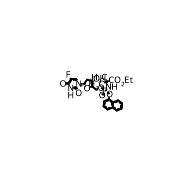 CCOC(=O)C(C)(C)NP(=O)(OCC1O[C@@H](n2cc(F)c(=O)[nH]c2=O)C[C@H]1O)Oc1cccc2ccccc12